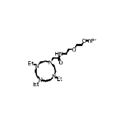 CCCOCCOCCNC(=O)CN1CCN(CC)CCN(CC)CCN(CC)CC1